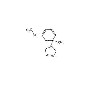 COC1=CC=CC(C)(N2CC=CC2)C1